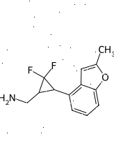 Cc1cc2c(C3C(CN)C3(F)F)cccc2o1